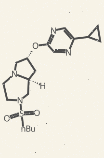 CCCCS(=O)(=O)N1CCN2C[C@H](Oc3cnc(C4CC4)cn3)C[C@H]2C1